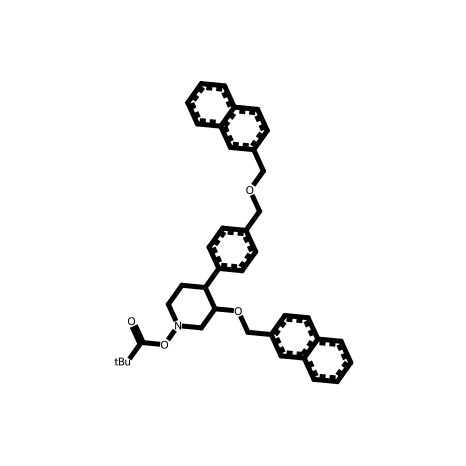 CC(C)(C)C(=O)ON1CCC(c2ccc(COCc3ccc4ccccc4c3)cc2)C(OCc2ccc3ccccc3c2)C1